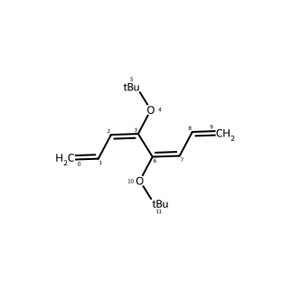 C=C/C=C(OC(C)(C)C)\C(=C/C=C)OC(C)(C)C